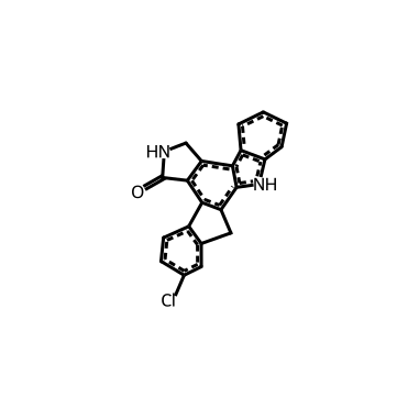 O=C1NCc2c1c1c(c3[nH]c4ccccc4c23)Cc2cc(Cl)ccc2-1